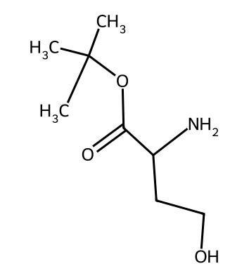 CC(C)(C)OC(=O)C(N)CCO